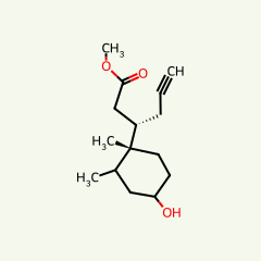 C#CC[C@@H](CC(=O)OC)[C@]1(C)CCC(O)CC1C